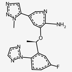 C[C@@H](Oc1cc(-c2cnnn2C)cnc1N)c1cc(F)ccc1-n1nccn1